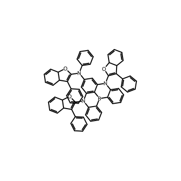 C1=CC2OC(N(c3ccccc3)c3cc4c5c(c3)N(C3=C(c6ccccc6)C6C=CC=CC6O3)c3ccccc3B5c3ccccc3N4C3=C(c4ccccc4)C4C=CC=CC4O3)=C(c3ccccc3)C2C=C1